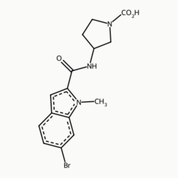 Cn1c(C(=O)NC2CCN(C(=O)O)C2)cc2ccc(Br)cc21